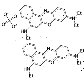 CCNc1cc2oc3cc(=[N+](CC)CC)ccc-3nc2c2ccccc12.CCNc1cc2oc3cc(=[N+](CC)CC)ccc-3nc2c2ccccc12.O=S(=O)([O-])[O-]